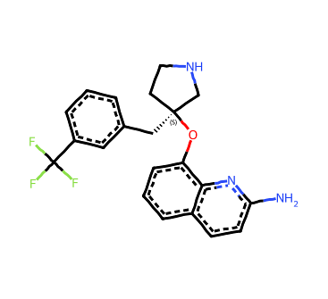 Nc1ccc2cccc(O[C@@]3(Cc4cccc(C(F)(F)F)c4)CCNC3)c2n1